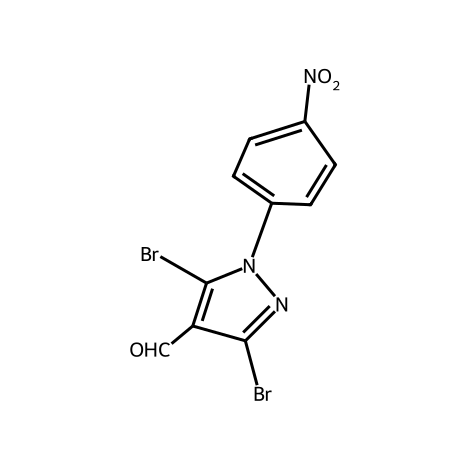 O=Cc1c(Br)nn(-c2ccc([N+](=O)[O-])cc2)c1Br